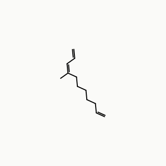 C=CC=C(C)CCCCCC=C